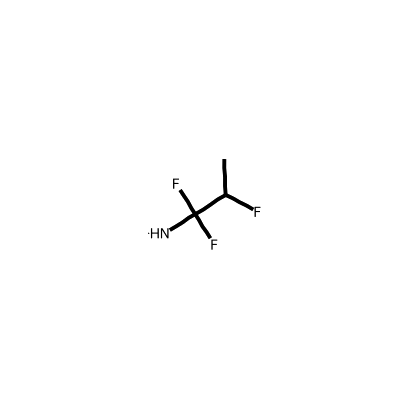 CC(F)C([NH])(F)F